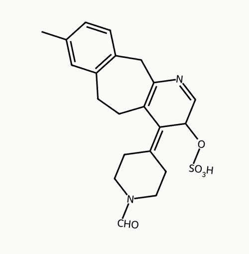 Cc1ccc2c(c1)CCC1=C(C2)N=CC(OS(=O)(=O)O)C1=C1CCN(C=O)CC1